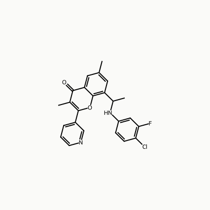 Cc1cc(C(C)Nc2ccc(Cl)c(F)c2)c2oc(-c3cccnc3)c(C)c(=O)c2c1